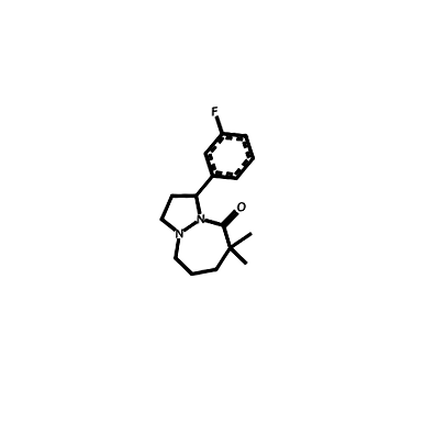 CC1(C)CCCN2CCC(c3cccc(F)c3)N2C1=O